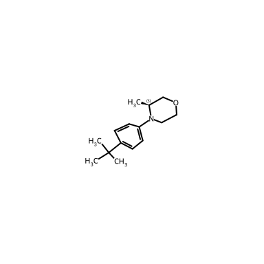 C[C@H]1COCCN1c1ccc(C(C)(C)C)cc1